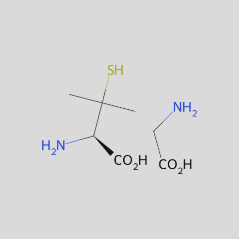 CC(C)(S)[C@H](N)C(=O)O.NCC(=O)O